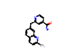 Cc1ccc2ccc(Cc3cc(C(N)=O)ccn3)cc2n1